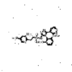 COc1cccc(OC)c1-n1c(NS(=O)(=O)[C@@H](C)Cc2ncc(P)cn2)nnc1-c1ccnnc1